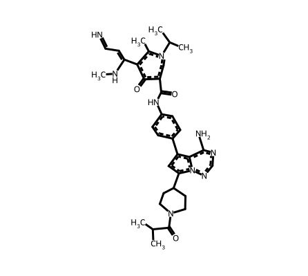 CN/C(=C\C=N)c1c(C)n(C(C)C)cc(C(=O)Nc2ccc(-c3cc(C4CCN(C(=O)C(C)C)CC4)n4ncnc(N)c34)cc2)c1=O